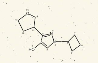 Oc1cn(C2CCC2)nc1C1CCOC1